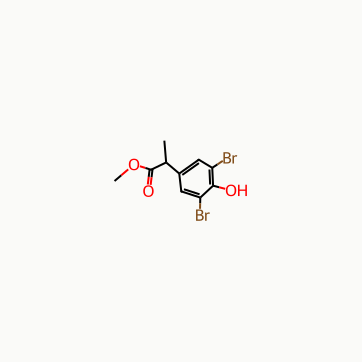 COC(=O)C(C)c1cc(Br)c(O)c(Br)c1